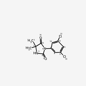 CC1(C)NC(=O)N(c2cc(Cl)cc(Cl)c2)C1=O